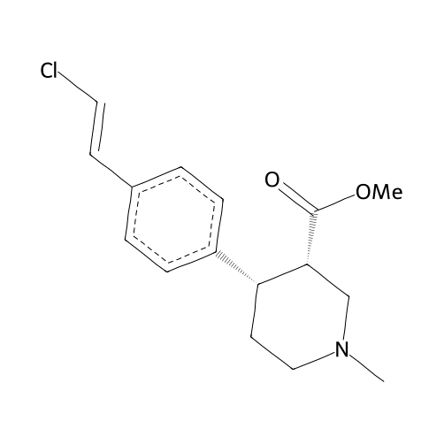 COC(=O)[C@@H]1CN(C)CC[C@@H]1c1ccc(C=CCl)cc1